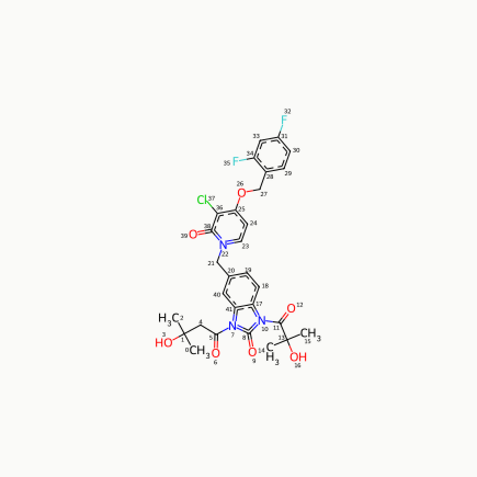 CC(C)(O)CC(=O)n1c(=O)n(C(=O)C(C)(C)O)c2ccc(Cn3ccc(OCc4ccc(F)cc4F)c(Cl)c3=O)cc21